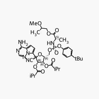 COC(C)COC(=O)[C@H](C)NP(=O)(OC[C@H]1O[C@@](C#N)(c2ccc3c(N)ncnn23)[C@H](OC(=O)C(C)C)[C@@H]1OC(=O)C(C)C)Oc1ccc(C(C)(C)C)cc1